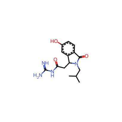 CC(C)CN1C(=O)c2ccc(O)cc2C1CC(=O)NC(=N)N